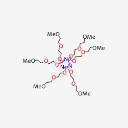 COCCOCCOP1(OCCOCCOC)=NP(OCCOCCOC)(OCCOCCOC)=NP(OCCOCCOC)(OCCOCCOC)=N1